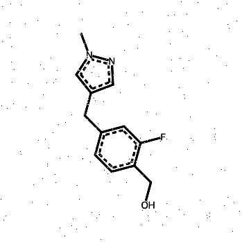 Cn1cc(Cc2ccc(CO)c(F)c2)cn1